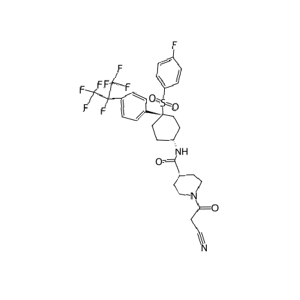 N#CCC(=O)N1CCC(C(=O)N[C@H]2CC[C@@](c3ccc(C(F)(C(F)(F)F)C(F)(F)F)cc3)(S(=O)(=O)c3ccc(F)cc3)CC2)CC1